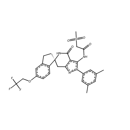 Cc1cc(C)cc(-n2nc3c(c2NC(=O)CS(C)(=O)=O)C(=O)N[C@@]2(CCc4cc(OCC(F)(F)F)ccc42)C3)c1